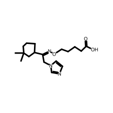 CC1(C)CCCC(C(Cn2ccnc2)=NOCCCCC(=O)O)C1